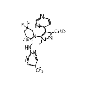 C[C@@H]1CC(F)(F)CN(c2c(-c3ccncn3)c(C=O)nn2C)[C@@H]1CNc1ncc(C(F)(F)F)cn1